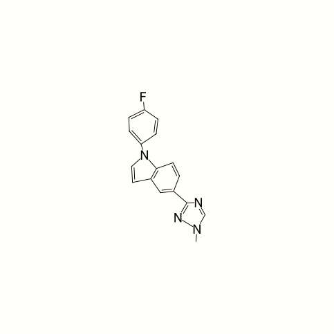 Cn1cnc(-c2ccc3c(ccn3-c3ccc(F)cc3)c2)n1